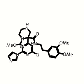 COC(=O)N1CCNCC1(C(=O)NCCc1ccc(OC)c(OC)c1)c1cc(Cl)nc(-n2ccnc2)n1